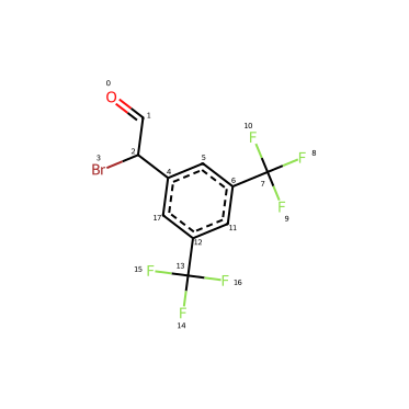 O=CC(Br)c1cc(C(F)(F)F)cc(C(F)(F)F)c1